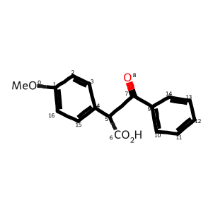 COc1ccc(C(C(=O)O)C(=O)c2ccccc2)cc1